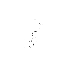 CCC1(C)OB(c2ccc3c(c2)C(C)(C)c2ccc4c(c2-3)SCC=N4)OC1(C)C